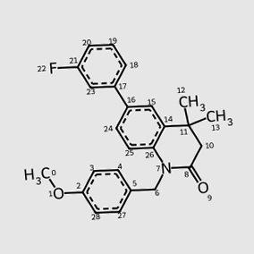 COc1ccc(CN2C(=O)CC(C)(C)c3cc(-c4cccc(F)c4)ccc32)cc1